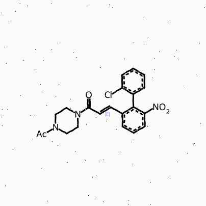 CC(=O)N1CCN(C(=O)/C=C/c2cc[c]c([N+](=O)[O-])c2-c2ccccc2Cl)CC1